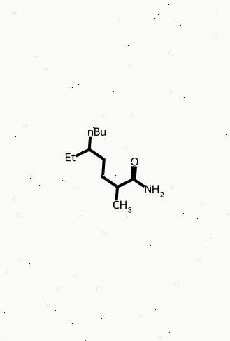 CCCCC(CC)CCC(C)C(N)=O